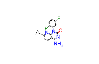 Nc1nc(=O)n(-c2cc(F)ccc2F)c2nc(C3CC3)ccc12